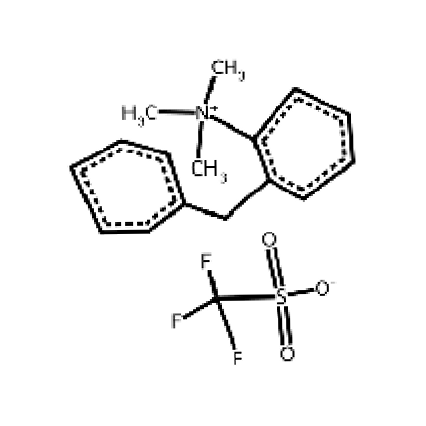 C[N+](C)(C)c1ccccc1Cc1ccccc1.O=S(=O)([O-])C(F)(F)F